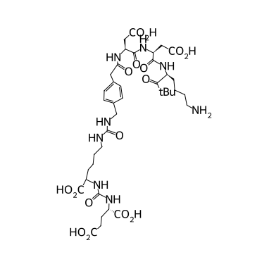 CC(C)(C)C(=O)[C@H](CCCCN)NC(=O)[C@H](CC(=O)O)NC(=O)[C@H](CC(=O)O)NC(=O)Cc1ccc(CNC(=O)NCCCCC(NC(=O)N[C@@H](CCC(=O)O)C(=O)O)C(=O)O)cc1